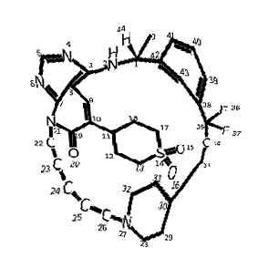 C[C@H]1Nc2ncnc3c2cc(C2CCS(=O)(=O)CC2)c(=O)n3CCCCCN2CCC(CC2)CCC(F)(F)c2cccc1c2